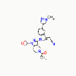 CC(=O)N1CCc2c(c(N3C[C@H](CC#N)c4cc(-c5cnn(C)c5)ccc43)nn2C2COC2)C1